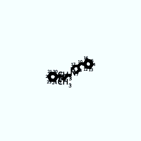 C[N+](C)(CCCN1CCC(Cc2ccccc2)CC1)c1ccccc1